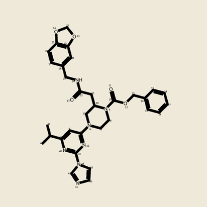 CC(C)c1cc(N2CCN(C(=O)OCc3ccccc3)C(CC(=O)NCc3ccc4c(c3)OCO4)C2)nc(-n2ccnc2)n1